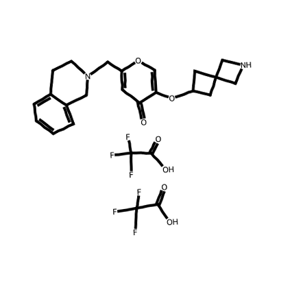 O=C(O)C(F)(F)F.O=C(O)C(F)(F)F.O=c1cc(CN2CCc3ccccc3C2)occ1OC1CC2(CNC2)C1